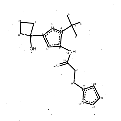 CC(C)(C)n1nc(C2(O)CCC2)cc1NC(=O)CCn1cccn1